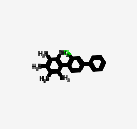 Bc1c(B)c(B)c(-c2ccc(-c3ccccc3)cc2Cl)c(B)c1B